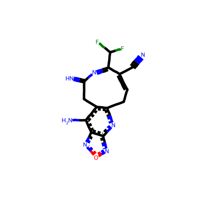 N#CC1=C/Cc2nc3nonc3c(N)c2CC(=N)/N=C\1C(F)F